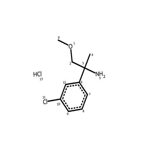 COCC(C)(N)c1cccc(Cl)c1.Cl